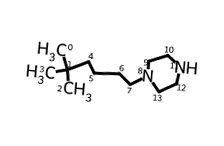 CC(C)(C)CCCCN1CCNCC1